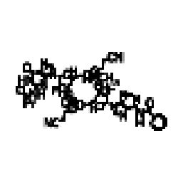 CC(C)C(=O)Nc1nc2c(ncn2[C@@H]2O[C@@H]3CO[PH](C)(OCCC#N)O[C@H]4[C@@H](F)[C@H](n5cnc6c(NC(=O)c7ccccc7)ncnc65)O[C@@H]4COP(=O)(OCCC#N)O[C@H]3[C@H]2F)c(=O)[nH]1